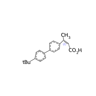 C/C(=C/C(=O)O)c1ccc(-c2ccc(C(C)(C)C)cc2)cc1